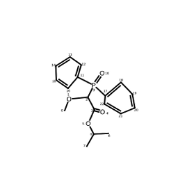 COC(C(=O)OC(C)C)P(=O)(c1ccccc1)c1ccccc1